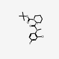 CN(C(=O)[C@@H]1CCCCN1C(=O)OC(C)(C)C)c1ccc(F)cc1Cl